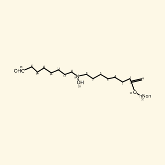 C=C(CCCCCCCN(O)CCCCCCCC=O)OCCCCCCCCC